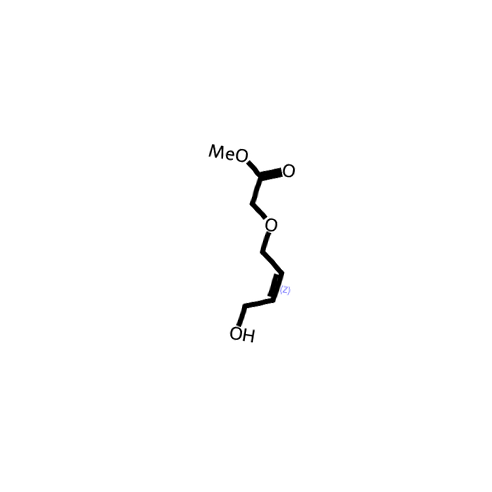 COC(=O)COC/C=C\CO